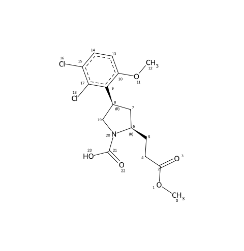 COC(=O)CC[C@@H]1C[C@H](c2c(OC)ccc(Cl)c2Cl)CN1C(=O)O